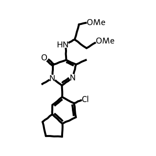 COCC(COC)Nc1c(C)nc(-c2cc3c(cc2Cl)CCC3)n(C)c1=O